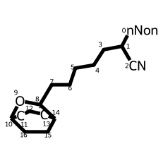 [CH2]CCCCCCCCC(C#N)CCCCC[C]1OC2CCCC1CC2